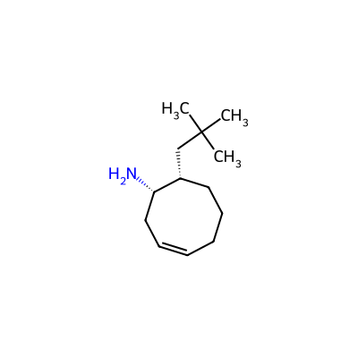 CC(C)(C)C[C@@H]1CCC/C=C\C[C@@H]1N